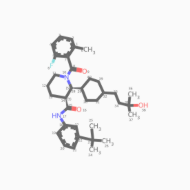 Cc1cccc(F)c1C(=O)N1CCC[C@H](C(=O)Nc2cccc(C(C)(C)C)c2)[C@@H]1C1CCC(CCC(C)(C)O)CC1